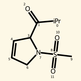 CC(C)C(=O)C1C=CCN1S(C)(=O)=O